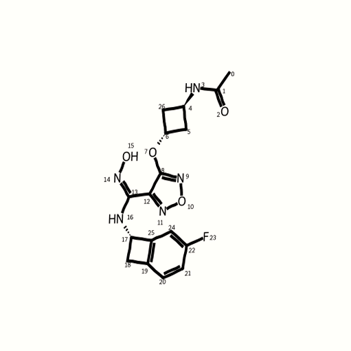 CC(=O)N[C@H]1C[C@H](Oc2nonc2/C(=N\O)N[C@H]2Cc3ccc(F)cc32)C1